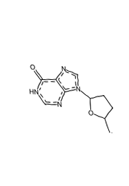 [CH2]C1CCC(n2cnc3c(=O)[nH]cnc32)O1